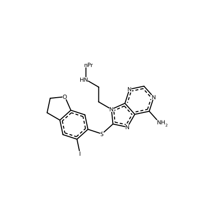 CCCNCCn1c(Sc2cc3c(cc2I)CCO3)nc2c(N)ncnc21